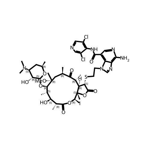 CO[C@]1(C)C[C@@H](C)C(=O)[C@H](C)[C@H]2[C@H](SCCn3cnc4c(N)ncc(C(=O)Nc5c(Cl)cncc5Cl)c43)C(=O)O[C@]2(C)[C@@H](I)OC(=O)[C@H](C)[C@@H](O)[C@H](C)[C@H]1O[C@@H]1O[C@H](C)C[C@H](N(C)C)[C@H]1O